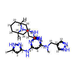 Cc1cc(Nc2cc(N(C)Cc3cn[nH]c3)nc(N[C@@H]3C[C@H]4CCC[C@@H](C3)N4CCC#N)n2)n[nH]1